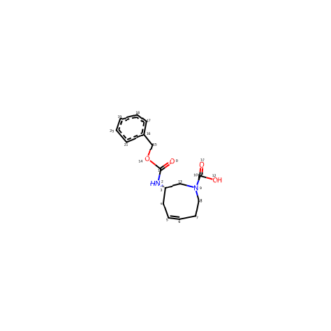 O=C(N[C@H]1CC=CCCN(C(=O)O)C1)OCc1ccccc1